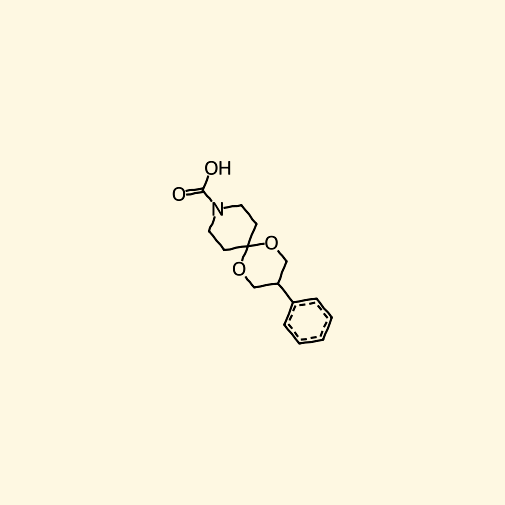 O=C(O)N1CCC2(CC1)OCC(c1ccccc1)CO2